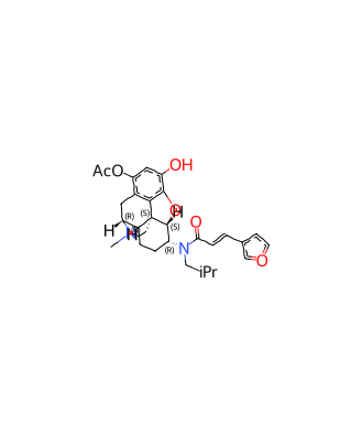 CC(=O)Oc1cc(O)c2c3c1C[C@@H]1[C@@H]4CC[C@@H](N(CC(C)C)C(=O)C=Cc5ccoc5)[C@@H](O2)[C@]34CCN1C